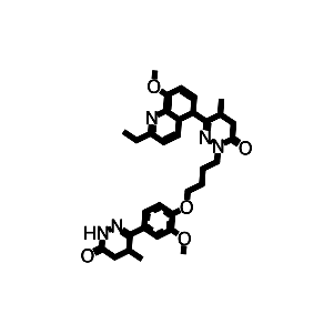 CCC1=NC2=C(OC)C=CC(C3=NN(CCCCOc4ccc(C5=NNC(=O)CC5C)cc4OC)C(=O)CC3C)C2C=C1